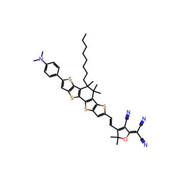 CCCCCCCCC1(C)c2c(sc3cc(-c4ccc(N(C)C)cc4)sc23)-c2sc3cc(/C=C/C4=C(C#N)C(=C(C#N)C#N)OC4(C)C)sc3c2C1(C)C